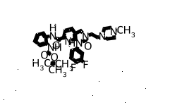 CN1CCN(CCN(Cc2ccc(C(=O)Nc3ccccc3NC(=O)OC(C)(C)C)nc2)C(=O)Nc2ccc(F)c(F)c2)CC1